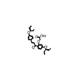 C/C=C(/CC)Oc1ccc(C(=O)/C=C/c2ccc(O/C(=C/C)CC)cc2)c(OCC(=O)O)c1